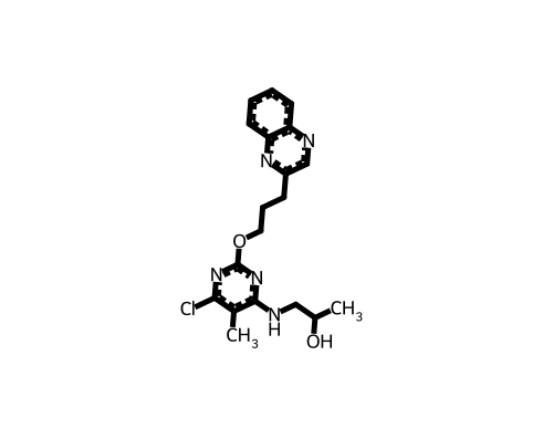 Cc1c(Cl)nc(OCCCc2cnc3ccccc3n2)nc1NCC(C)O